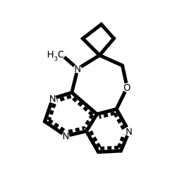 CN1c2ncnc3ccnc(c23)OCC12CCC2